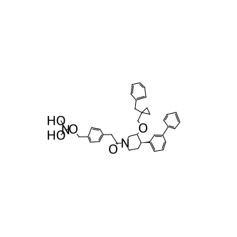 O=C(Cc1ccc(CON(O)O)cc1)N1CC[C@H](c2cccc(-c3ccccc3)c2)C(OCC2(Cc3ccccc3)CC2)C1